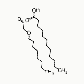 CCCCCCCCCCCC(=O)O.CCCCCCCCOCC=O